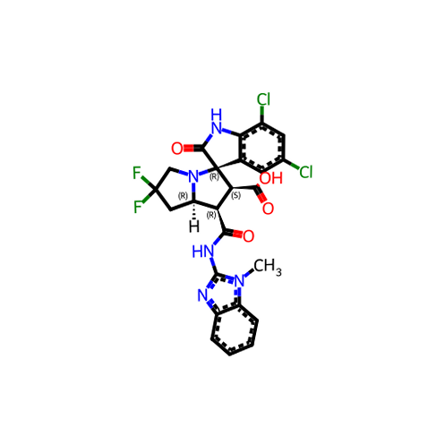 Cn1c(NC(=O)[C@H]2[C@H]3CC(F)(F)CN3[C@]3(C(=O)Nc4c(Cl)cc(Cl)cc43)[C@H]2C(=O)O)nc2ccccc21